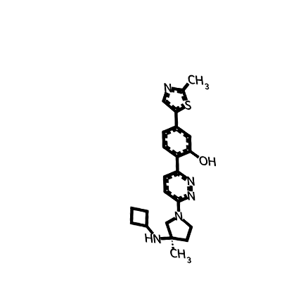 Cc1ncc(-c2ccc(-c3ccc(N4CC[C@@](C)(NC5CCC5)C4)nn3)c(O)c2)s1